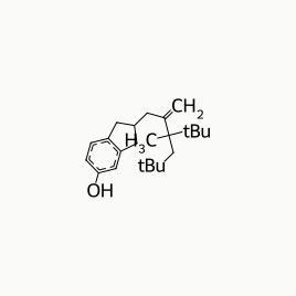 C=C(CC1Cc2ccc(O)cc2C1)C(C)(CC(C)(C)C)C(C)(C)C